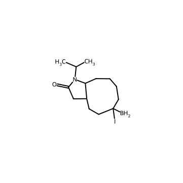 BC1(I)CCCCC2C(CC1)CC(=O)N2C(C)C